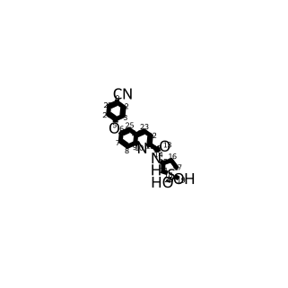 N#Cc1ccc(Oc2ccc3nc(C(=O)NC4CCS(O)(O)C4)ccc3c2)cc1